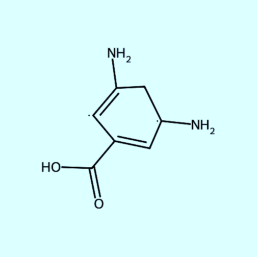 N[C]1C=C(C(=O)O)[C]=C(N)C1